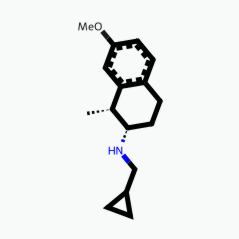 COc1ccc2c(c1)[C@@H](C)[C@@H](NCC1CC1)CC2